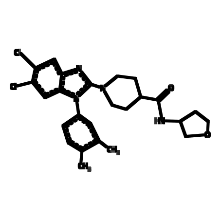 Cc1ccc(-n2c(N3CCC(C(=O)NC4CCOC4)CC3)nc3cc(Cl)c(Cl)cc32)cc1C